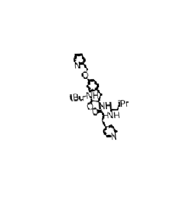 CC(C)CCNC(Cc1ccncc1)C(=O)NC(Cc1ccc(OCc2ccccn2)cc1)C(=O)NC(C)(C)C